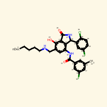 CCCCCCCCCCCCCCNCc1cc(NC(=O)c2cc(F)cc(C(F)(F)F)c2)c2c(c1O)C(=O)NC2c1cc(F)ccc1Cl